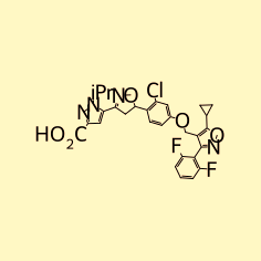 CC(C)n1nc(C(=O)O)cc1C1=NOC(c2ccc(OCc3c(-c4c(F)cccc4F)noc3C3CC3)cc2Cl)C1